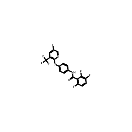 O=C(Nc1ccc(Oc2ncc(F)cc2C(F)(F)F)cc1)c1c(F)ccc(F)c1F